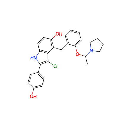 CC(Oc1ccccc1Cc1c(O)ccc2[nH]c(-c3ccc(O)cc3)c(Cl)c12)N1CCCC1